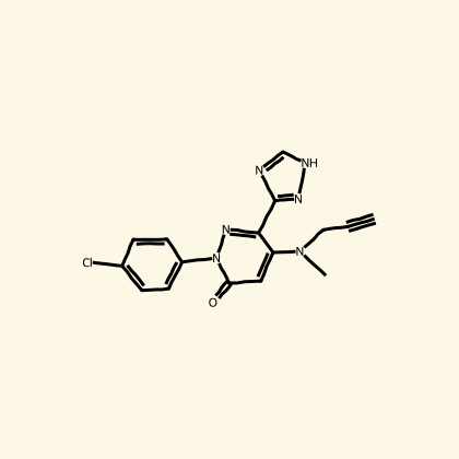 C#CCN(C)c1cc(=O)n(-c2ccc(Cl)cc2)nc1-c1nc[nH]n1